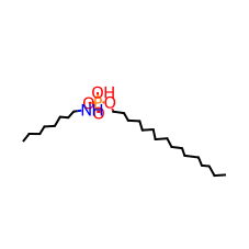 CCCCCCCCCCCCCCCCOP(=O)(O)ONCCCCCCCC